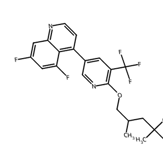 CC(COc1ncc(-c2ccnc3cc(F)cc(F)c23)cc1C(F)(F)F)CC(C)(C)N